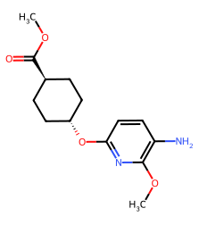 COc1nc(O[C@H]2CC[C@H](C(=O)OC)CC2)ccc1N